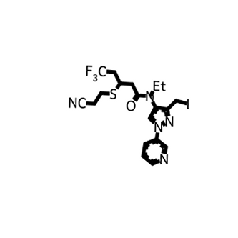 CCN(C(=O)CC(CC(F)(F)F)SCCC#N)c1cn(-c2cccnc2)nc1CI